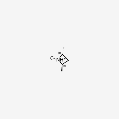 [CH2-][NH+]1[C@H](C)C[C@H]1C